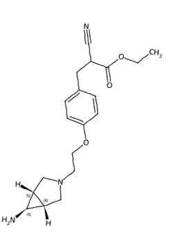 CCOC(=O)C(C#N)Cc1ccc(OCCN2C[C@@H]3[C@@H](N)[C@@H]3C2)cc1